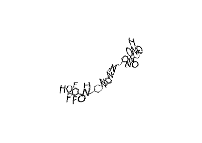 Cn1c(=O)n(C2CCC(=O)NC2=O)c2cccc(CCN3CCN(c4ccc5cn([C@H]6CC[C@H](CNC(=O)c7cc(F)c(O)c(F)c7F)CC6)nc5c4)CC3)c21